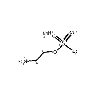 CCS(=O)(=O)OCCN.[NaH]